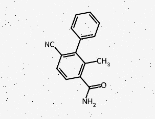 Cc1c(C(N)=O)ccc(C#N)c1-c1ccccc1